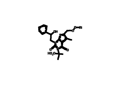 CCOOCc1sc2c(c1C)c(=O)n(C(C)(C)C(=O)O)c(=O)n2CC(O)c1ccccc1